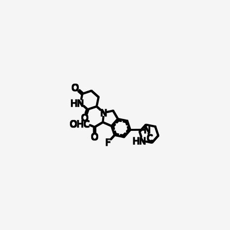 O=CC(=O)C1c2c(F)cc(N3CC4CCC3CN4)cc2CN1C1CCC(=O)NC1=O